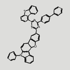 C1=CC2c3cc(-c4nc(-c5ccc(-c6ccccc6)cc5)nc(-c5cccc6sc7ccccc7c56)n4)ccc3OC2c2c1n(-c1ccccc1)c1ccccc21